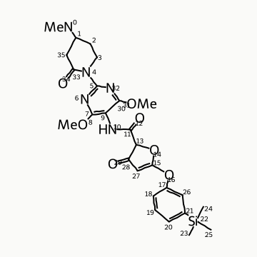 CNC1CCN(c2nc(OC)c(NC(=O)C3OC(Oc4cccc([Si](C)(C)C)c4)=CC3=O)c(OC)n2)C(=O)C1